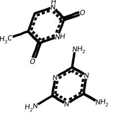 Cc1c[nH]c(=O)[nH]c1=O.Nc1nc(N)nc(N)n1